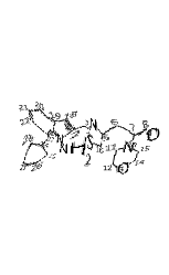 Nn1c(C2=NC(CC(C=O)N3CCOCC3)CS2)cc2cccc(C3CCCC3)c21